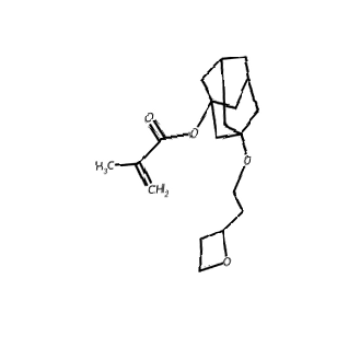 C=C(C)C(=O)OC12CC3CC(CC(OCCC4CCO4)(C3)C1)C2